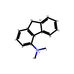 CN(C)c1cccc2c1-c1ccccc1[CH]2